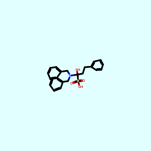 O=S(=O)(O)C(O)(CCc1ccccc1)N(Cc1ccccc1)Cc1ccccc1